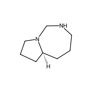 C1CNCN2CCC[C@@H]2C1